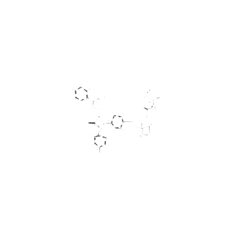 O=C(COC1(CCc2ccc(C3[C@@H](CCC(O)c4ccc(F)cc4)C(=O)N3c3ccc(F)cc3)cc2)COC1)NC(CO)C(=O)O